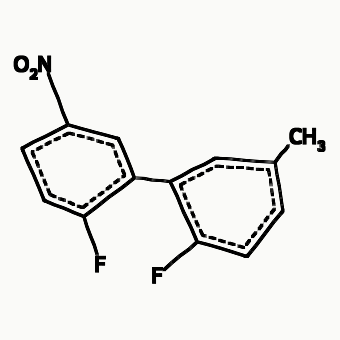 Cc1ccc(F)c(-c2cc([N+](=O)[O-])ccc2F)c1